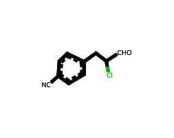 N#Cc1ccc(CC(Cl)C=O)cc1